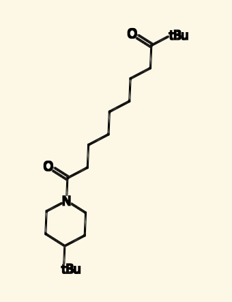 CC(C)(C)C(=O)CCCCCCCC(=O)N1CCC(C(C)(C)C)CC1